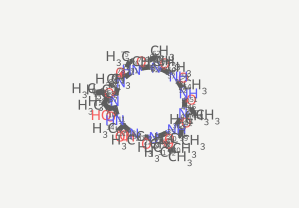 C/C=C/C[C@@H](C)[C@@H](O)[C@H]1C(=O)N[C@@H]([C@@H](C)O)C(=O)N(C)CC(=O)N(C)[C@@H](C(C)OC(C)(C)C)C(=O)N[C@@H](CC(C)C)C(=O)N(C)[C@@H](CC(C)C)C(=O)N[C@@H](C)C(=O)N[C@H](C)C(=O)N(C)[C@@H](CC(C)C)C(=O)N[C@@H](CC(C)C)C(=O)N(C)[C@@H](C(C)C)C(=O)N1C